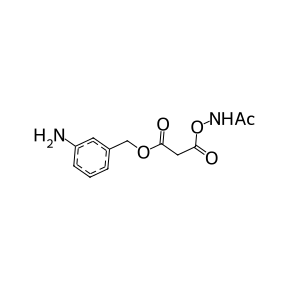 CC(=O)NOC(=O)CC(=O)OCc1cccc(N)c1